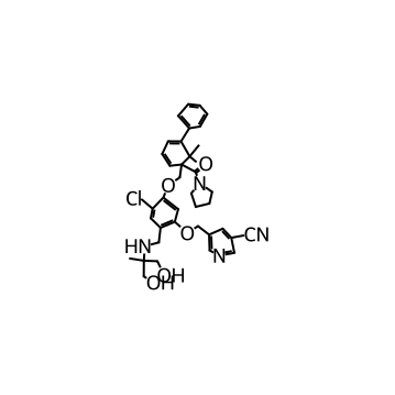 CC(CO)(CO)NCc1cc(Cl)c(OCC2(C(=O)N3CCCC3)C=CC=C(c3ccccc3)C2(C)C)cc1OCc1cncc(C#N)c1